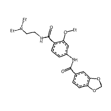 CCOc1cc(NC(=O)c2ccc3c(c2)OCO3)ccc1C(=O)NCCN(CC)CC